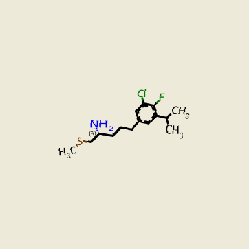 CSC[C@H](N)CCCc1cc(Cl)c(F)c(C(C)C)c1